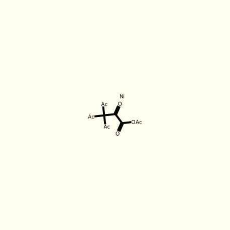 CC(=O)OC(=O)C(=O)C(C(C)=O)(C(C)=O)C(C)=O.[Ni]